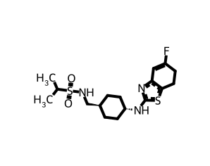 CC(C)S(=O)(=O)NC[C@H]1CC[C@H](Nc2nc3c(s2)CCC(F)=C3)CC1